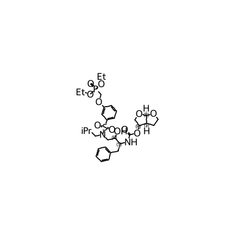 CCOP(=O)(COc1cccc(S(=O)(=O)N(CC(C)C)C[C@@H](O)[C@H](Cc2ccccc2)NC(=O)O[C@H]2CO[C@H]3OCC[C@H]32)c1)OCC